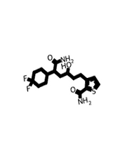 NC(=O)c1sccc1C[CH]C(O)CC(C(N)=O)C1CCC(F)(F)CC1